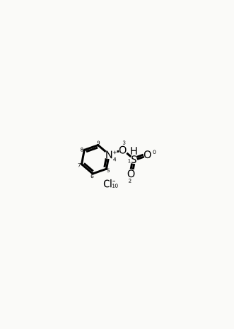 O=[SH](=O)O[n+]1ccccc1.[Cl-]